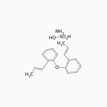 CC=Cc1ccccc1Oc1ccccc1C=CC.N.O=S(=O)(O)O